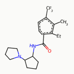 CCc1c(C(=O)NC2CCCC2N2CCCC2)ccc(C(F)(F)F)c1C